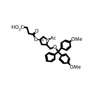 COc1ccc(C(OCC2C[C@@H](OC(=O)CCC(=O)O)CN2C(C)=O)(c2ccccc2)c2ccc(OC)cc2)cc1